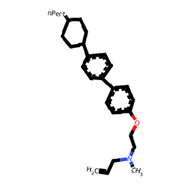 C=CCN(C)CCOc1ccc(-c2ccc(C3CCC(CCCCC)CC3)cc2)cc1